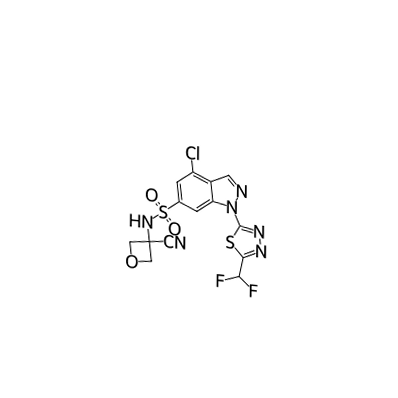 N#CC1(NS(=O)(=O)c2cc(Cl)c3cnn(-c4nnc(C(F)F)s4)c3c2)COC1